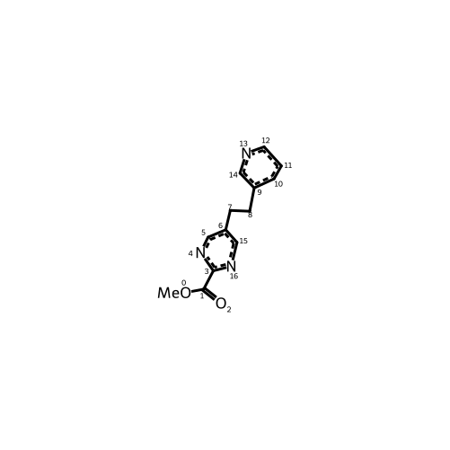 COC(=O)c1ncc(CCc2cccnc2)cn1